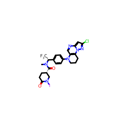 CN(C(=O)[C@H]1CCC(=O)N(I)C1)[C@@H](c1ccc(N2CCCc3c2cnc2cc(Cl)nn32)cc1)C(F)(F)F